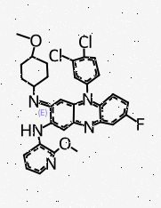 COc1ncccc1Nc1cc2nc3cc(F)ccc3n(-c3ccc(Cl)c(Cl)c3)c-2c/c1=N\C1CCC(OC)CC1